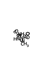 Cc1cc(Nc2cc(C3CC=CO3)[nH]n2)nc(C2COc3ccccc3O2)n1